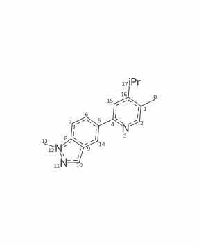 Cc1cnc(-c2ccc3c(cnn3C)c2)cc1C(C)C